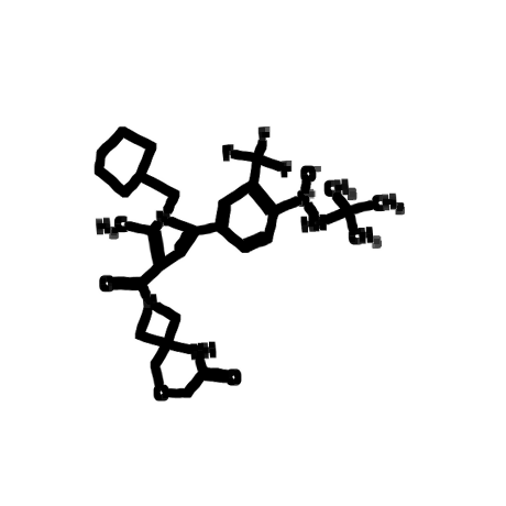 Cc1c(C(=O)N2CC3(COCC(=O)N3)C2)cc(-c2ccc([S+]([O-])NC(C)(C)C)c(C(F)(F)F)c2)n1CC1CCCCC1